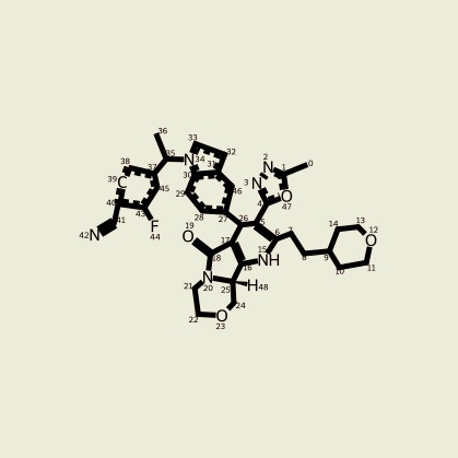 Cc1nnc(C2=C(CCC3CCOCC3)NC3=C(C(=O)N4CCOC[C@@H]34)C2c2ccc3c(ccn3C(C)c3ccc(C#N)c(F)c3)c2)o1